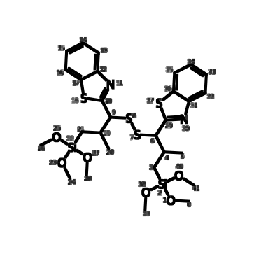 CO[Si](CC(C)C(SSC(c1nc2ccccc2s1)C(C)C[Si](OC)(OC)OC)c1nc2ccccc2s1)(OC)OC